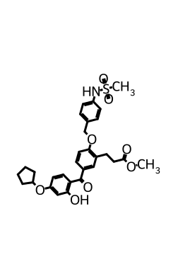 COC(=O)CCc1cc(C(=O)c2ccc(OC3CCCC3)cc2O)ccc1OCc1ccc(NS(C)(=O)=O)cc1